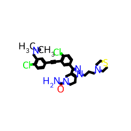 CN(C)Cc1cc(C#Cc2cc(-c3nn(CCCN4CCSCC4)c4c3CN(C(N)=O)CC4)ccc2Cl)ccc1Cl